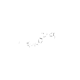 CS(=O)(=O)CC(=O)N1CC(F)(c2ccc(C3=NOC(c4ccc(F)c(Cl)c4)(C(F)(F)F)C3)cc2)C1